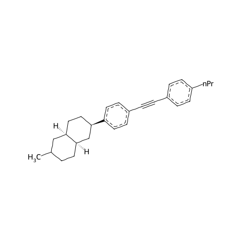 CCCc1ccc(C#Cc2ccc([C@@H]3CC[C@@H]4CC(C)CC[C@@H]4C3)cc2)cc1